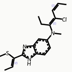 C/C=C\C(Cl)=C(/CC)N(C)c1ccc2[nH]c(/C(=C/C)SC)nc2c1